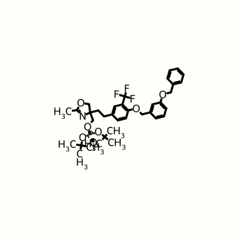 CC1=NC(CCc2ccc(OCc3cccc(OCc4ccccc4)c3)c(C(F)(F)F)c2)(COP(=O)(OC(C)(C)C)OC(C)(C)C)CO1